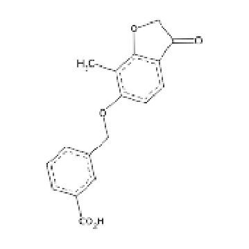 Cc1c(OCc2cccc(C(=O)O)c2)ccc2c1OCC2=O